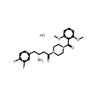 COc1cccc(OC)c1C(=O)N1CCN(C(=O)C[C@H](N)Cc2ccc(F)c(F)c2)CC1.Cl